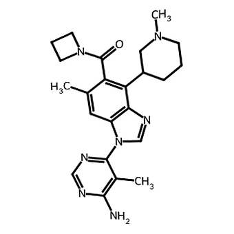 Cc1cc2c(ncn2-c2ncnc(N)c2C)c(C2CCCN(C)C2)c1C(=O)N1CCC1